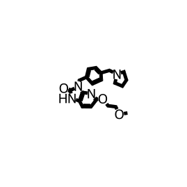 COCCOc1ccc2[nH]c(=O)n(Cc3ccc(CN4CCCC4)cc3)c2n1